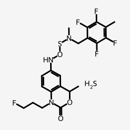 Cc1c(F)c(F)c(CN(C)SONc2ccc3c(c2)C(C)OC(=O)N3CCCF)c(F)c1F.S